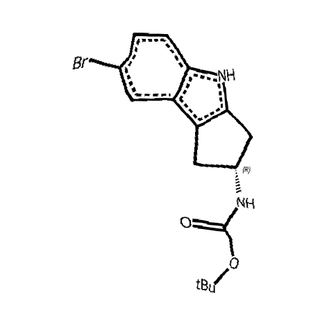 CC(C)(C)OC(=O)N[C@H]1Cc2[nH]c3ccc(Br)cc3c2C1